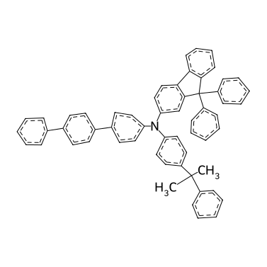 CC(C)(c1ccccc1)c1ccc(N(c2ccc(-c3ccc(-c4ccccc4)cc3)cc2)c2ccc3c(c2)C(c2ccccc2)(c2ccccc2)c2ccccc2-3)cc1